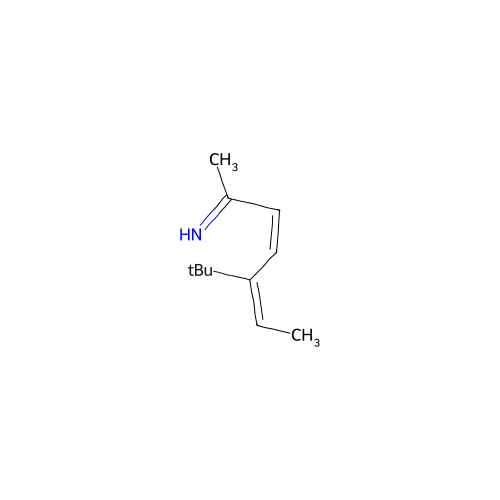 C/C=C(\C=C/C(C)=N)C(C)(C)C